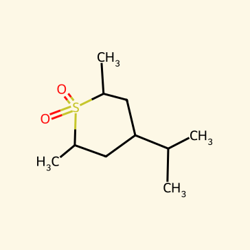 CC(C)C1CC(C)S(=O)(=O)C(C)C1